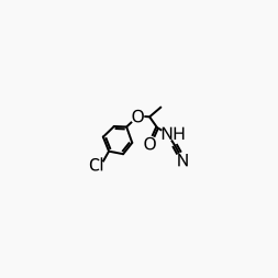 CC(Oc1ccc(Cl)cc1)C(=O)NC#N